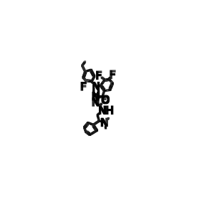 CCc1ccc(Nc2c(-c3nnc(NCC(c4ccccc4)N(C)C)o3)ccc(F)c2F)c(F)c1